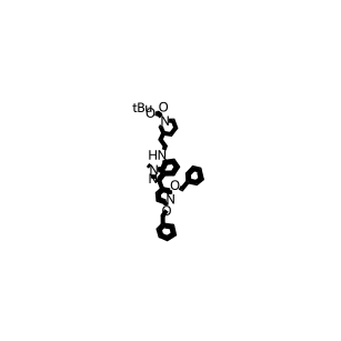 Cn1nc(-c2ccc(OCc3ccccc3)nc2OCc2ccccc2)c2cccc(NCCC3CCCN(C(=O)OC(C)(C)C)C3)c21